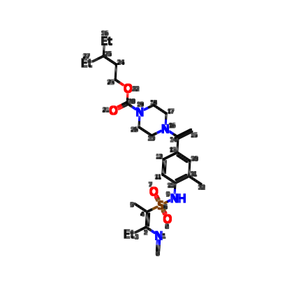 C=N/C(CC)=C(/C)S(=O)(=O)Nc1ccc(C(=C)N2CCN(C(=O)OCCC(CC)CC)CC2)cc1C